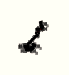 Cc1ncsc1-c1ccc([C@@H](C)NC(=O)[C@H]2C[C@H](O)CN2C(=O)[C@H](NC(=O)CCOCCOCCOCCC(=O)N2CCN(c3cc(-c4n[nH]c5ccc(OC6(C)CC6)cc45)ncn3)CC2)C(C)(C)C)cc1